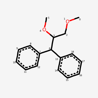 COCC(OC)C(c1ccccc1)c1ccccc1